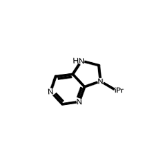 CC(C)N1CNc2cncnc21